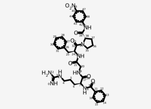 N=C(N)NCCC[C@H](NC(=O)c1ccccc1)C(=O)NCC(=O)N[C@@H](Cc1ccccc1)C(=O)N1CCC[C@H]1C(=O)Nc1ccc([N+](=O)[O-])cc1